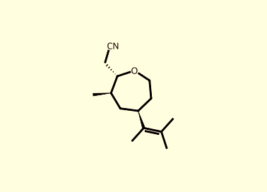 CC(C)=C(C)[C@@H]1CCO[C@@H](CC#N)[C@H](C)C1